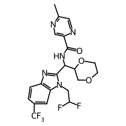 Cc1cnc(C(=O)NC(c2nc3ccc(C(F)(F)F)cc3n2CC(F)F)C2COCCO2)cn1